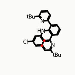 CC(C)(C)c1cccc(-c2cccc(-c3cccc(C(C)(C)C)n3)c2Nc2cccc(Cl)c2)n1